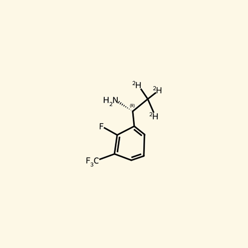 [2H]C([2H])([2H])[C@@H](N)c1cccc(C(F)(F)F)c1F